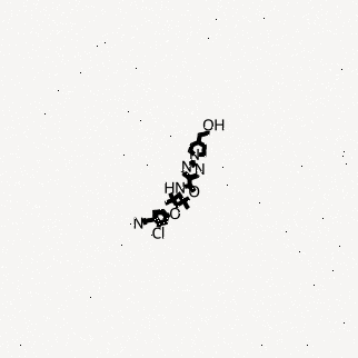 CC1(C)[C@H](NC(=O)c2cnc(N3CCC(CCO)CC3)nc2)C(C)(C)[C@H]1Oc1ccc(C#N)c(Cl)c1